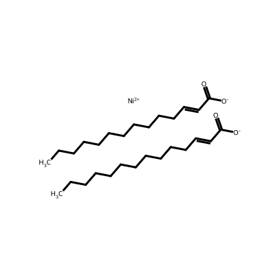 CCCCCCCCCCCC=CC(=O)[O-].CCCCCCCCCCCC=CC(=O)[O-].[Ni+2]